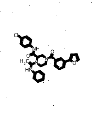 C=C(Nc1ccccc1)N1CCN(C(=O)c2cccc(-c3ccco3)c2)CC1C(=O)Nc1ccc(Cl)cc1